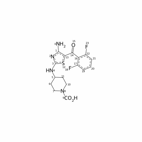 Nc1nc(NC2CCN(C(=O)O)CC2)sc1C(=O)c1c(F)cccc1F